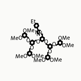 CCc1ccc(-c2cn(Cc3cc(OCc4cc(OCc5cc(OC)cc(OC)c5)cc(OCc5cc(OC)cc(OC)c5)c4)cc(OCc4cc(OCc5cc(OC)cc(OC)c5)cc(OCc5cc(OC)cc(OC)c5)c4)c3)nn2)cc1